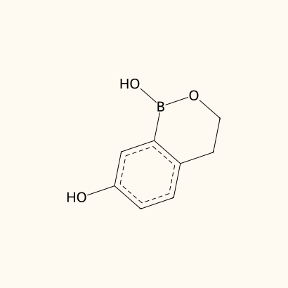 OB1OCCc2ccc(O)cc21